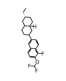 CC[C@@H]1CC[C@@H]2CC(c3ccc4c(F)c(OC(F)F)ccc4c3)CCC2C1